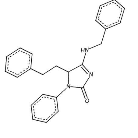 O=C1N=C(NCc2ccccc2)C(CCc2ccccc2)N1c1ccccc1